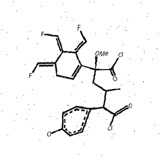 CO[C@](CC(C)C(C(=O)Cl)c1ccc(Cl)cc1)(C(=O)Cl)C1=CCC(=CF)C(=CF)C1=CF